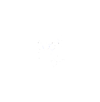 COc1ccccc1C(O)Cn1cc(/C(C)=N/OC(C)C)c(=O)n(C[C@@H](NC(=O)C2CCC2)C(C)C)c1=O